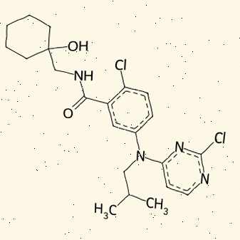 CC(C)CN(c1ccc(Cl)c(C(=O)NCC2(O)CCCCC2)c1)c1ccnc(Cl)n1